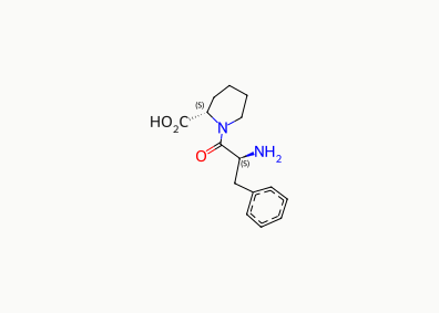 N[C@@H](Cc1ccccc1)C(=O)N1CCCC[C@H]1C(=O)O